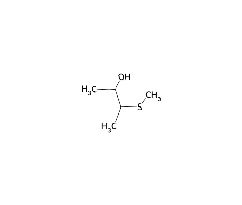 CSC(C)C(C)O